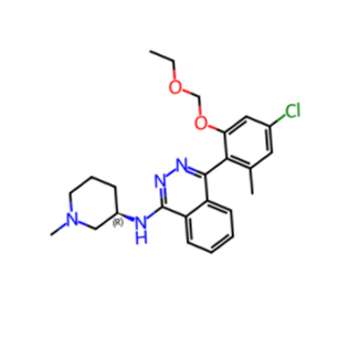 CCOCOc1cc(Cl)cc(C)c1-c1nnc(N[C@@H]2CCCN(C)C2)c2ccccc12